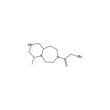 C=C(CC(C)(C)C)N1CCC2CNCC(C)N2CC1